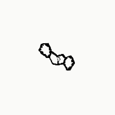 c1ccc2c(c1)CC1OC2Cc2ccccc21